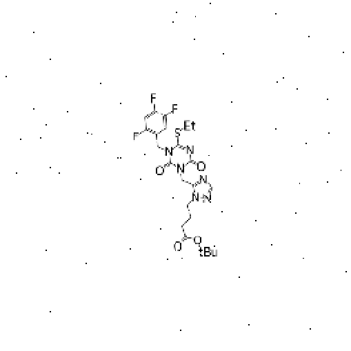 CCSc1nc(=O)n(Cc2ncnn2CCCC(=O)OC(C)(C)C)c(=O)n1Cc1cc(F)c(F)cc1F